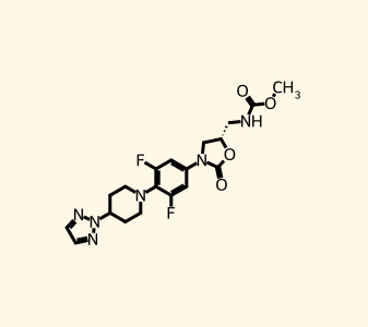 COC(=O)NC[C@H]1CN(c2cc(F)c(N3CCC(n4nccn4)CC3)c(F)c2)C(=O)O1